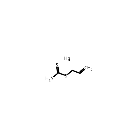 C=CCSC(N)=S.[Hg]